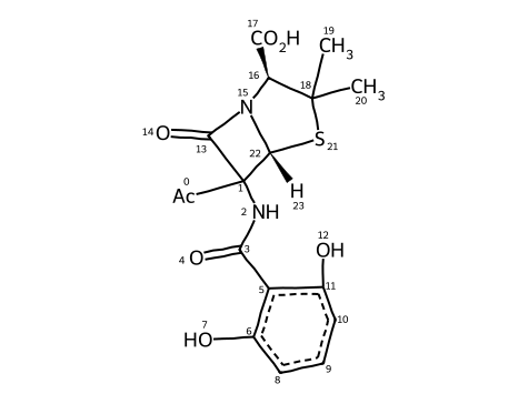 CC(=O)C1(NC(=O)c2c(O)cccc2O)C(=O)N2[C@@H](C(=O)O)C(C)(C)S[C@@H]21